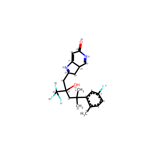 Cc1ccc(F)cc1C(C)(C)CC(O)(CC1=NC2=CC(=O)N=CC2C1)C(F)(F)F